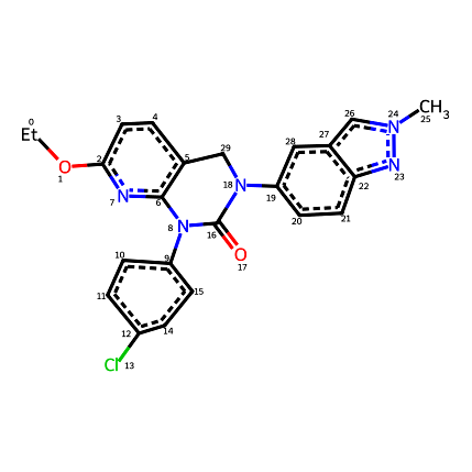 CCOc1ccc2c(n1)N(c1ccc(Cl)cc1)C(=O)N(c1ccc3nn(C)cc3c1)C2